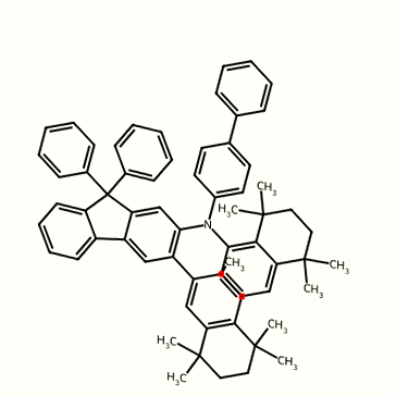 Cc1cc2c(cc1-c1cc3c(cc1N(c1ccc(-c4ccccc4)cc1)c1cccc4c1C(C)(C)CCC4(C)C)C(c1ccccc1)(c1ccccc1)c1ccccc1-3)C(C)(C)CCC2(C)C